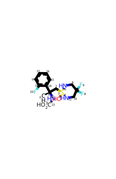 C[C@@](CS1(O)NCC(F)(F)CN1)(NC(=O)O)c1ccccc1F